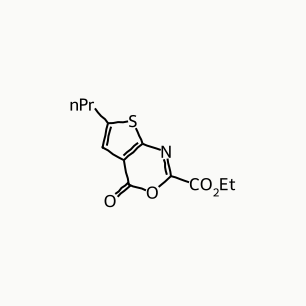 CCCc1cc2c(=O)oc(C(=O)OCC)nc2s1